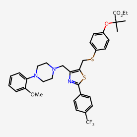 CCOC(=O)C(C)(C)Oc1ccc(SCc2sc(-c3ccc(C(F)(F)F)cc3)nc2CN2CCN(c3ccccc3OC)CC2)cc1